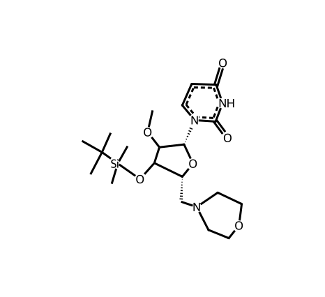 COC1C(O[Si](C)(C)C(C)(C)C)[C@@H](CN2CCOCC2)O[C@H]1n1ccc(=O)[nH]c1=O